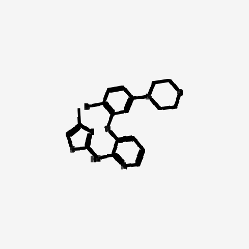 Cc1csc(Nc2ncccc2Oc2cc(N3CCOCC3)ccc2Br)n1